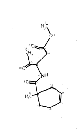 COC(=O)CC(NC(=O)C1(C)CC=CCC1)C(C)=O